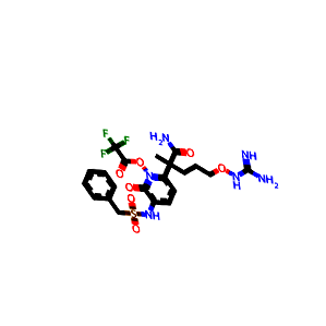 CC(CCCONC(=N)N)(C(N)=O)c1ccc(NS(=O)(=O)Cc2ccccc2)c(=O)n1OC(=O)C(F)(F)F